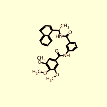 COc1cc(C(=O)Nc2cccc(C(=O)N[C@@H](C)c3cccc4ccccc34)c2)cc(OC)c1OC